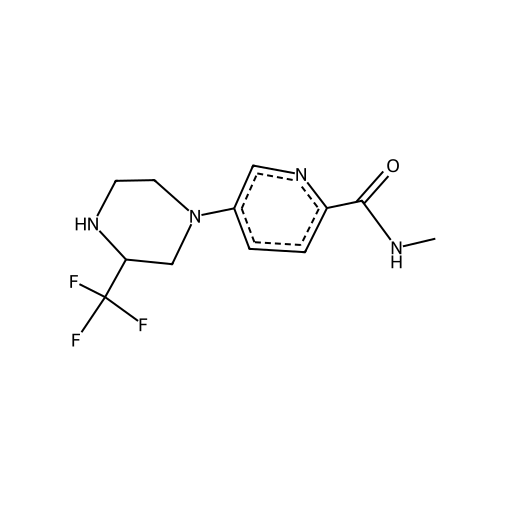 CNC(=O)c1ccc(N2CCNC(C(F)(F)F)C2)cn1